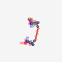 COC(=O)Cn1c(=O)[nH]c2ccc(C(=O)c3c(C)c(-c4ccc(OCCOCCOCCOCCOc5ccc(-c6c(C)c(C(=O)c7ccc8[nH]c(=O)n(CC(=O)O)c(=O)c8c7)n7ccccc67)cc5)cc4)c4ccccn34)cc2c1=O